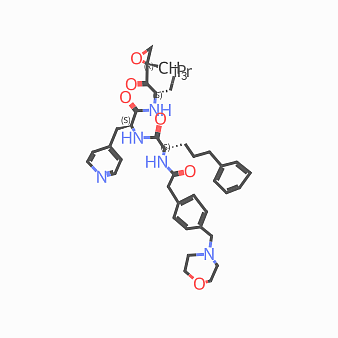 CC(C)C[C@H](NC(=O)[C@H](Cc1ccncc1)NC(=O)[C@H](CCCc1ccccc1)NC(=O)Cc1ccc(CN2CCOCC2)cc1)C(=O)[C@@]1(C)CO1